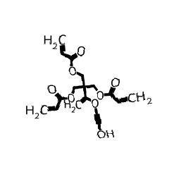 C=CC(=O)OCC(COC(=O)C=C)(COC(=O)C=C)C(=C)OC#CO